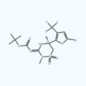 CN1/C(=N/C(=O)OC(C)(C)C)N[C@](C)(c2sc(Br)cc2C(F)(F)F)CS1(=O)=O